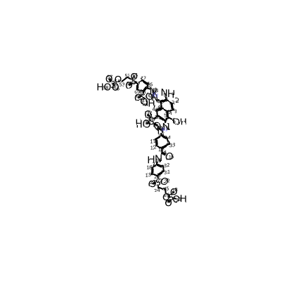 Nc1ccc2c(O)c(/N=N/c3ccc(C(=O)Nc4ccc(S(=O)(=O)CCOS(=O)(=O)O)cc4)cc3)c(S(=O)(=O)O)cc2c1/N=N/c1ccc(S(=O)(=O)CCOS(=O)(=O)O)cc1S(=O)(=O)O